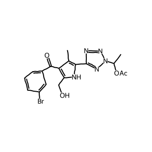 CC(=O)OC(C)n1nnc(-c2[nH]c(CO)c(C(=O)c3cccc(Br)c3)c2C)n1